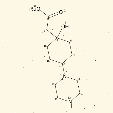 CC(C)COC(=O)CC1(O)CCC(N2CCNCC2)CC1